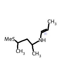 C/C=C/NC(C)CC(C)SC